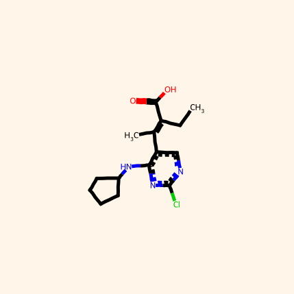 CC/C(C(=O)O)=C(/C)c1cnc(Cl)nc1NC1CCCC1